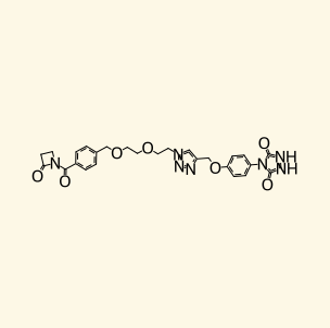 O=C1CCN1C(=O)c1ccc(COCCOCCn2cc(COc3ccc(-n4c(=O)[nH][nH]c4=O)cc3)nn2)cc1